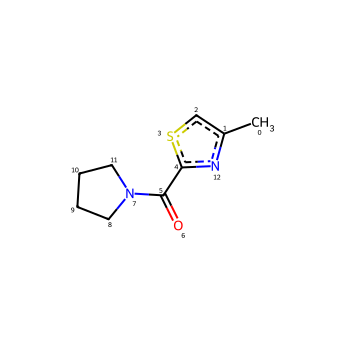 Cc1csc(C(=O)N2CCCC2)n1